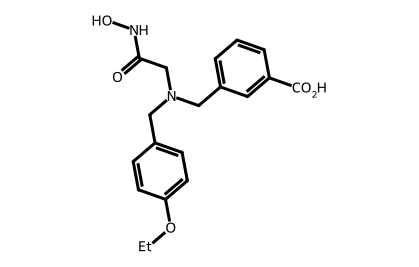 CCOc1ccc(CN(CC(=O)NO)Cc2cccc(C(=O)O)c2)cc1